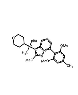 CCCC[N+](C)(c1c(OC)nn2c(-c3c(OC)cc(C)cc3OC)cccc12)C1CCOCC1